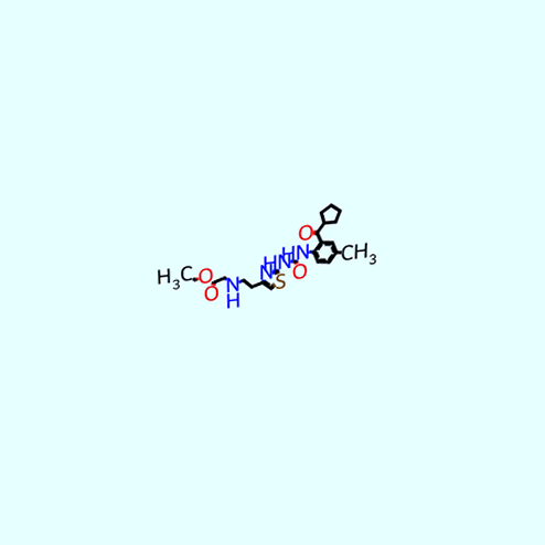 CCOC(=O)CNCCc1csc(NC(=O)Nc2ccc(C)cc2C(=O)C2CCCC2)n1